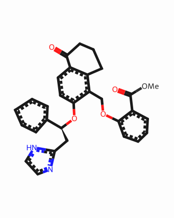 COC(=O)c1ccccc1OCc1c(O[C@@H](Cc2ncc[nH]2)c2ccccc2)ccc2c1CCCC2=O